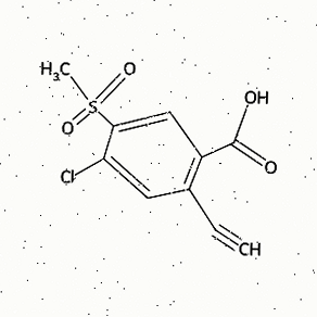 C#Cc1cc(Cl)c(S(C)(=O)=O)cc1C(=O)O